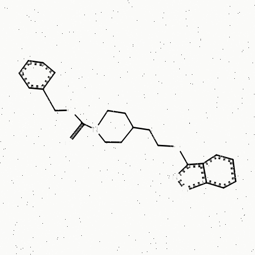 O=C(OCc1ccccc1)N1CCC(CCOc2noc3ccccc23)CC1